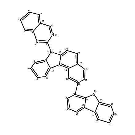 c1ccc2nc(-n3c4ccccc4c4c5cc(-c6cccc7c6sc6ccccc67)ccc5ccc43)ncc2c1